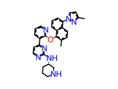 Cc1ccn(-c2cccc3c(Oc4ncccc4-c4ccnc(N[C@H]5CCCNC5)n4)c(C)ccc23)n1